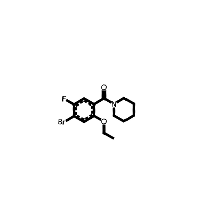 CCOc1cc(Br)c(F)cc1C(=O)N1CCCCC1